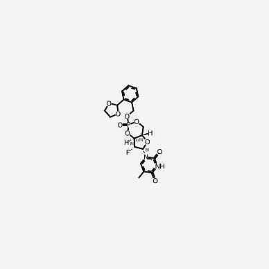 Cc1cn([C@H]2O[C@H]3COP(=O)(OCc4ccccc4C4OCCO4)O[C@@H]3[C@H]2F)c(=O)[nH]c1=O